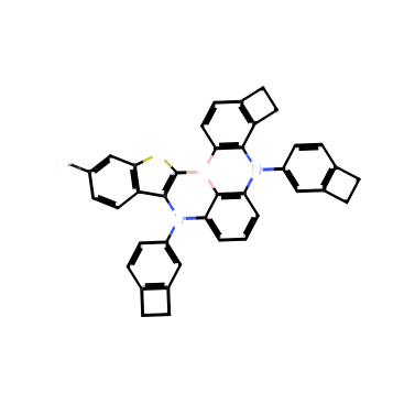 CC(C)(C)c1ccc2c3c(sc2c1)B1c2ccc4c(c2N(c2ccc5c(c2)CC5)c2cccc(c21)N3c1ccc2c(c1)CC2)CC4